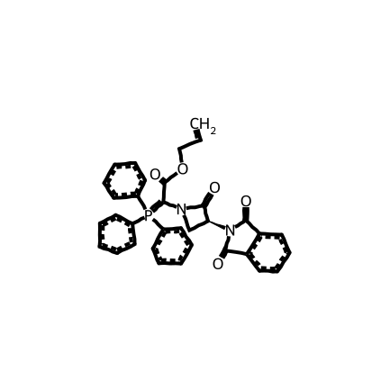 C=CCOC(=O)C(N1C[C@H](N2C(=O)c3ccccc3C2=O)C1=O)=P(c1ccccc1)(c1ccccc1)c1ccccc1